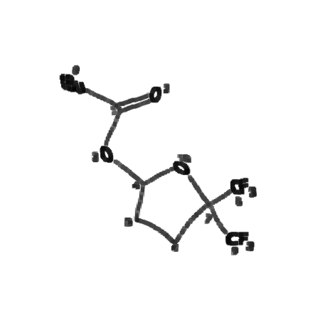 CC(C)(C)C(=O)OC1CCC(C(F)(F)F)(C(F)(F)F)O1